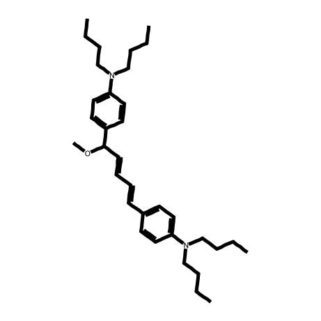 CCCCN(CCCC)c1ccc(/C=C/C=C/C(OC)c2ccc(N(CCCC)CCCC)cc2)cc1